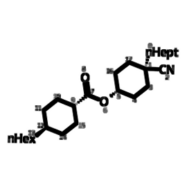 CCCCCCC[C@]1(C#N)CC[C@H](OC(=O)[C@H]2CC[C@H](CCCCCC)CC2)CC1